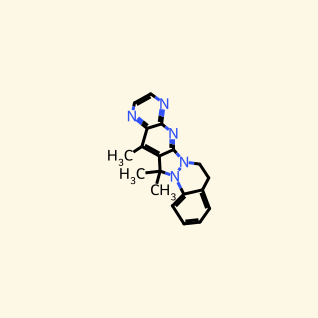 Cc1c2c(nc3nccnc13)N1CCc3ccccc3N1C2(C)C